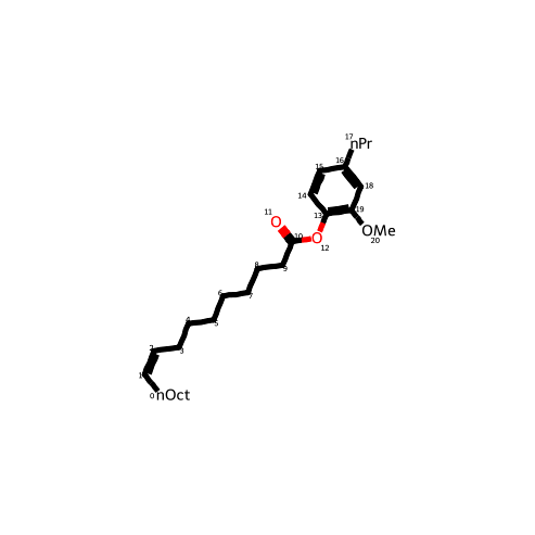 CCCCCCCC/C=C\CCCCCCCC(=O)Oc1ccc(CCC)cc1OC